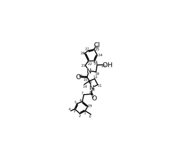 Cc1cc(C)cc(CC(=O)N2CCC2(C)C(=O)N(CCO)Cc2ccc(Cl)cc2)c1